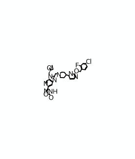 O=c1[nH]c(-c2cc3nc(CN4CCC(c5ccnc(OCc6ccc(Cl)cc6F)n5)CC4)n(C[C@@H]4CCO4)c3cn2)no1